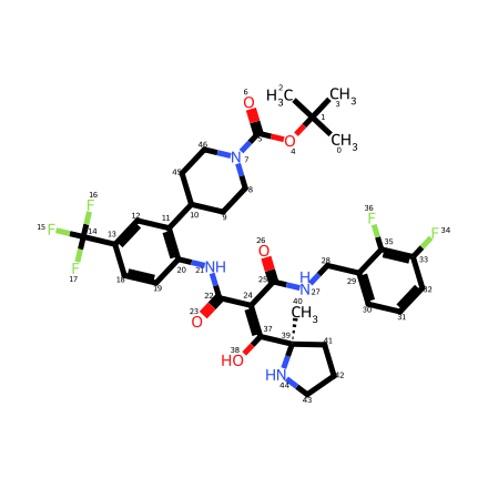 CC(C)(C)OC(=O)N1CCC(c2cc(C(F)(F)F)ccc2NC(=O)/C(C(=O)NCc2cccc(F)c2F)=C(\O)[C@@]2(C)CCCN2)CC1